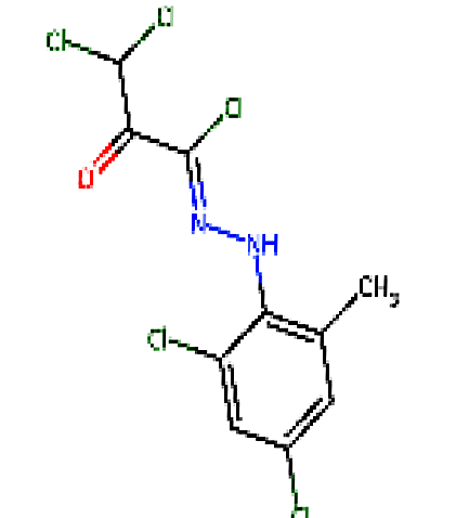 Cc1cc(Cl)cc(Cl)c1NN=C(Cl)C(=O)C(Cl)Cl